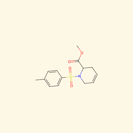 COC(=O)C1CC=CCN1S(=O)(=O)c1ccc(C)cc1